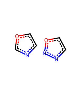 c1cocn1.c1conn1